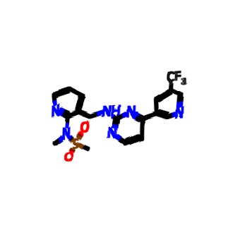 CN(c1ncccc1CNc1nccc(-c2cncc(C(F)(F)F)c2)n1)S(C)(=O)=O